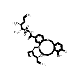 C=CC[C@H](C)[C@@H](C)S(=O)(=O)NC(=O)c1ccc2c(c1)N(C[C@@H]1CC[C@H]1[C@@H](O)C=C)CCCCc1c(ccc(Cl)c1CCC)CO2